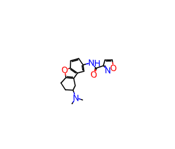 CN(C)C1CCc2oc3ccc(NC(=O)c4ccon4)cc3c2C1